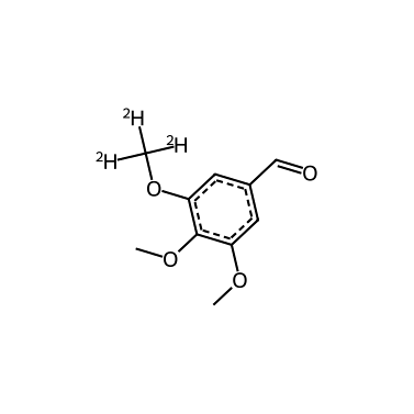 [2H]C([2H])([2H])Oc1cc(C=O)cc(OC)c1OC